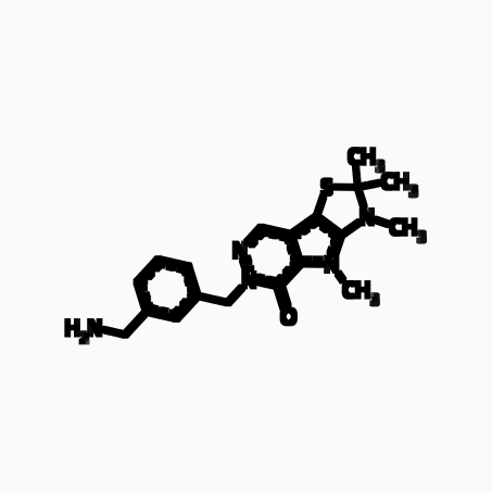 CN1c2c(c3cnn(Cc4cccc(CN)c4)c(=O)c3n2C)SC1(C)C